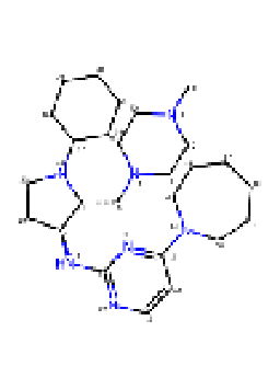 CN1CCN(C[C@@H]2[C@@H](Nc3nccc(N4CCCCCC4)n3)CCN2C2CCCCC2)CC1